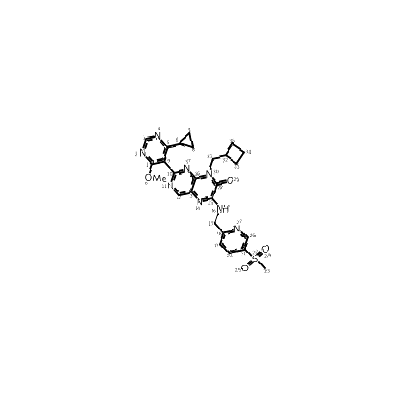 COc1ncnc(C2CC2)c1-c1ncc2nc(NCc3ccc(S(C)(=O)=O)cn3)c(=O)n(CC3CCC3)c2n1